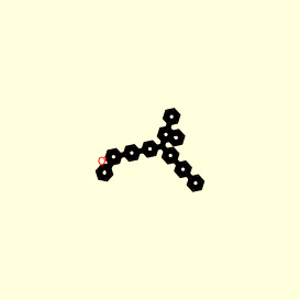 c1ccc(-c2ccc(-c3ccc(C(c4ccc(-c5ccc(-c6ccc7oc8ccccc8c7c6)cc5)cc4)c4ccc(-c5ccccc5)c5ccccc45)cc3)cc2)cc1